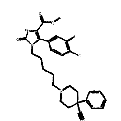 COC(=O)c1[nH]c(=O)n(CCCCCN2CCC(C#N)(c3ccccc3)CC2)c1-c1ccc(F)c(F)c1